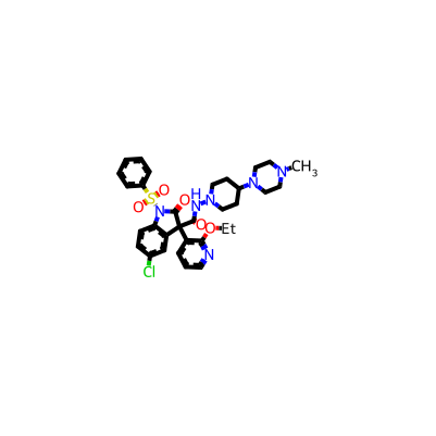 CCOc1ncccc1C1(C(=O)NN2CCC(N3CCN(C)CC3)CC2)C(=O)N(S(=O)(=O)c2ccccc2)c2ccc(Cl)cc21